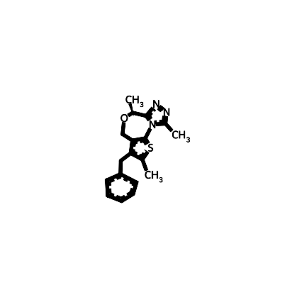 Cc1sc2c(c1Cc1ccccc1)CO[C@@H](C)c1nnc(C)n1-2